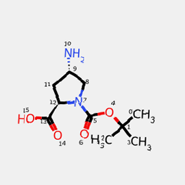 CC(C)(C)OC(=O)N1C[C@@H](N)C[C@@H]1C(=O)O